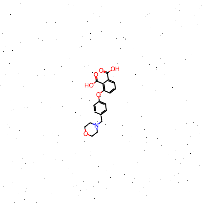 O=C(O)c1cccc(Oc2ccc(CN3CCOCC3)cc2)c1C(=O)O